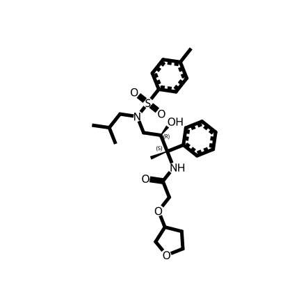 Cc1ccc(S(=O)(=O)N(CC(C)C)C[C@@H](O)[C@@](C)(NC(=O)COC2CCOC2)c2ccccc2)cc1